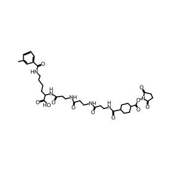 Cc1cccc(C(=O)NCCCCC(NC(=O)CCNC(=O)CCNC(=O)CCNC(=O)C2CCC(C(=O)ON3C(=O)CCC3=O)CC2)C(=O)O)c1